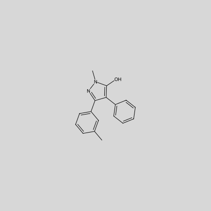 Cc1cccc(-c2nn(C)c(O)c2-c2ccccc2)c1